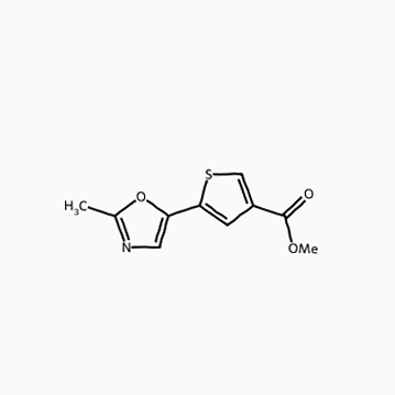 COC(=O)c1csc(-c2cnc(C)o2)c1